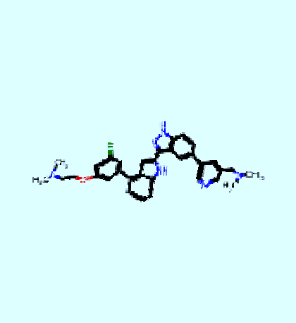 CN(C)CCOc1cc(F)cc(-c2cccc3[nH]c(-c4n[nH]c5ccc(-c6cncc(CN(C)C)c6)cc45)cc23)c1